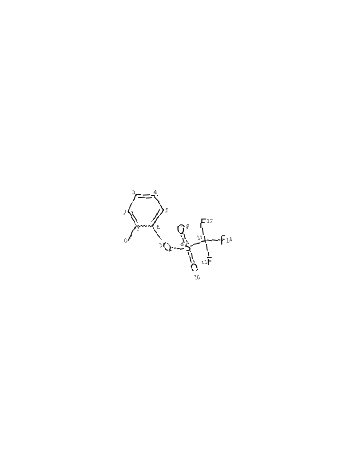 Cc1cc[c]cc1OS(=O)(=O)C(F)(F)F